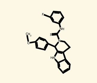 COc1ccc(C2c3[nH]c4ccccc4c3CCN2C(=S)Nc2cccc(F)c2)cc1